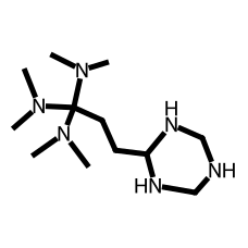 CN(C)C(CCC1NCNCN1)(N(C)C)N(C)C